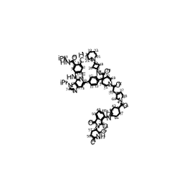 Cc1cc(F)c(Nc2nc(-c3ccc4c(c3)N(C3CC(N5CCCCC5)C3)C(=O)C43CCN(C(=O)C[C@H]4CCN(C(=O)C5CCC(Nc6cccc7c6C(=O)N(C6CCC(=O)NC6=O)C7=O)CC5)C4)CC3)cc3ncn(C(C)C)c23)cc1C(=O)NC(C)C